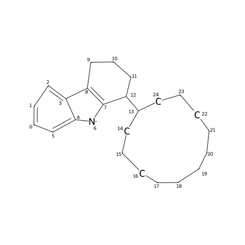 c1ccc2c(c1)[N]C1=C2CCCC1C1CCCCCCCCCCC1